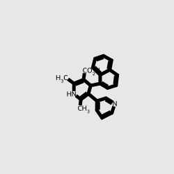 CC1=C(C(=O)O)C(c2cccc3ccccc23)C(c2cccnc2)=C(C)N1